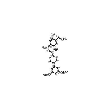 C=Cc1cc(NC(=O)N2CCN(c3cc(OC)cc(OC)c3)CC2)c(OC)nc1C